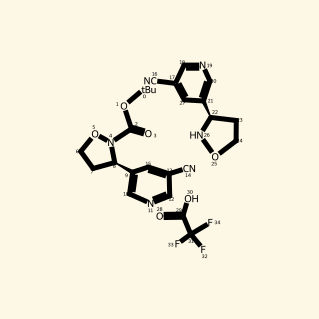 CC(C)(C)OC(=O)N1OCC[C@@H]1c1cncc(C#N)c1.N#Cc1cncc([C@H]2CCON2)c1.O=C(O)C(F)(F)F